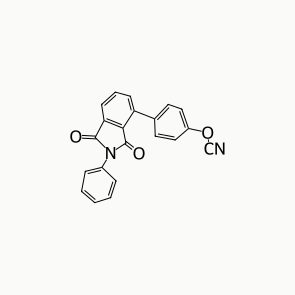 N#COc1ccc(-c2cccc3c2C(=O)N(c2ccccc2)C3=O)cc1